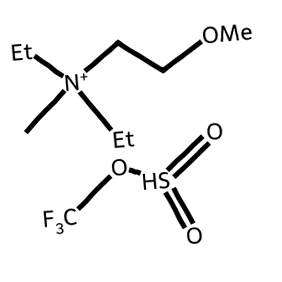 CC[N+](C)(CC)CCOC.O=[SH](=O)OC(F)(F)F